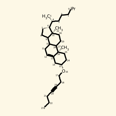 CC(C)CCC[C@@H](C)[C@H]1CCC2C3CC=C4C[C@@H](OCCC#CCCI)CC[C@]4(C)C3CC[C@@]21C